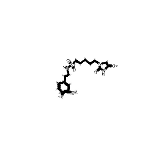 O=C1CN(CCCCCS(=O)(=O)NCCc2ccc(F)c(O)c2)C(=O)N1